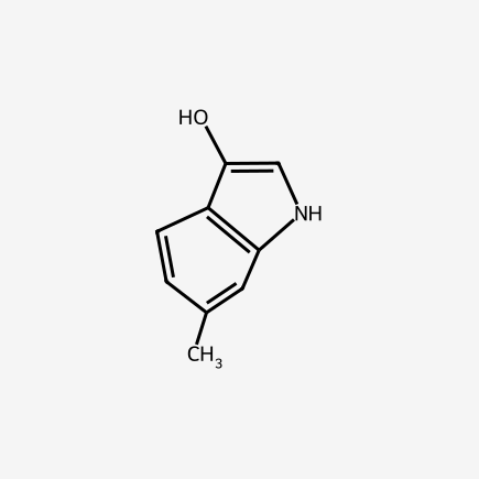 Cc1ccc2c(O)c[nH]c2c1